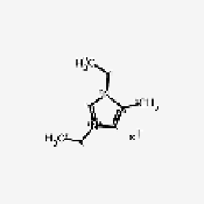 CCn1c[n+](CC)cc1C.[I-]